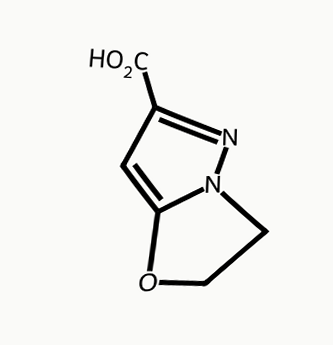 O=C(O)c1cc2n(n1)CCO2